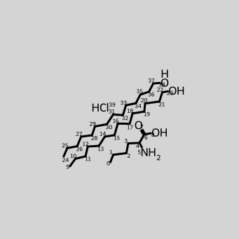 CCCCC(N)C(=O)O.CCCCCCCCCCCCCCO.CCCCCCCCCCCCCCO.Cl